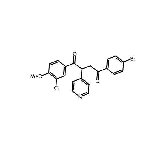 COc1ccc(C(=O)C(CC(=O)c2ccc(Br)cc2)c2ccncc2)cc1Cl